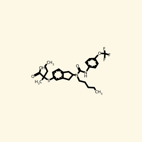 CCCCCN(C(=O)Nc1ccc(OC(F)(F)F)cc1)C1Cc2ccc(SC(C)(CCC)C(=O)O)cc2C1